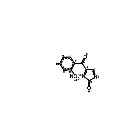 O=C1N=CC(C(=O)c2ccccc2[N+](=O)[O-])=N1